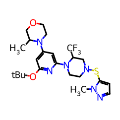 CC1COCCN1c1cc(OC(C)(C)C)nc(N2CCN(Sc3ccnn3C)CC2C(F)(F)F)c1